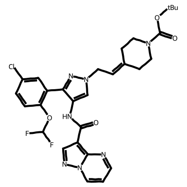 CC(C)(C)OC(=O)N1CCC(=CCn2cc(NC(=O)c3cnn4cccnc34)c(-c3cc(Cl)ccc3OC(F)F)n2)CC1